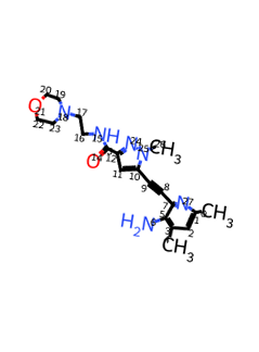 Cc1cc(C)c(N)c(C#Cc2cc(C(=O)NCCN3CCOCC3)nn2C)n1